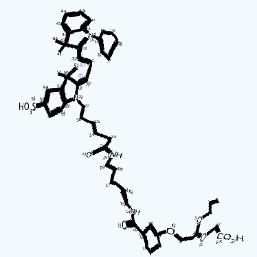 C=CCOC(COc1cccc(C(=O)NCCCCCNC(=O)CCCCCN2/C(=C/C=C/C3=[N+](c4ccccc4)c4ccccc4C3(C)C)C(C)(C)c3cc(S(=O)(=O)O)ccc32)c1)OCC(=O)O